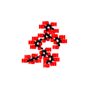 OC[C@H](O)[C@@H](O)[C@H](O)[C@H](O)CO[C@@H]1O[C@H](CO[C@@H]2O[C@H](CO[C@@H]3O[C@H](COC4O[C@H](CO)[C@@H](O)[C@H](O)[C@H]4O)[C@@H](O)[C@H](O[C@@H]4O[C@H](CO)[C@@H](O)[C@H](O)[C@H]4O)[C@H]3O)[C@@H](O)[C@H](O)[C@H]2O)[C@@H](O)[C@H](O[C@@H]2O[C@H](CO)[C@@H](O)[C@H](O)[C@H]2O)[C@H]1O